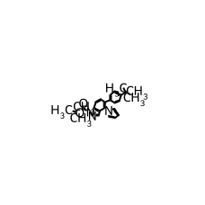 CC(C)(C)OC(=O)n1ncc2c(-n3cccc3)c(-c3ccc(C(C)(C)C)cc3)ccc21